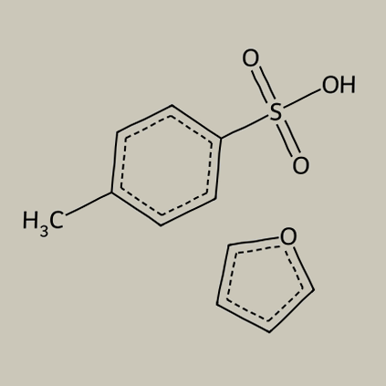 Cc1ccc(S(=O)(=O)O)cc1.c1ccoc1